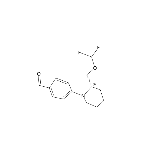 O=Cc1ccc(N2CCCC[C@H]2COC(F)F)cc1